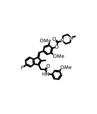 COc1cccc(NC(=O)CC2=C(C)C(=Cc3cc(OC)c(OC(=O)N4CCN(C)CC4)c(OC)c3)c3ccc(F)cc32)c1